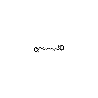 c1ccc(CCSCCCCSCCc2ccccn2)nc1